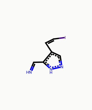 N=Cc1[nH]ncc1/C=C\I